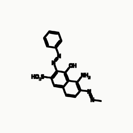 CN=Nc1ccc2cc(S(=O)(=O)O)c(N=Nc3ccccc3)c(O)c2c1N